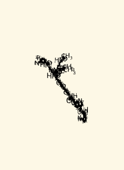 CC(=O)NCCCC[C@H](NC(=O)[C@H](CCCCNC(=O)c1ccc(F)c(C#N)c1)NC(=O)CCOCCOCCOCCNC(=O)COc1ccc2c(C(=O)NCC(=O)N3CCC[C@H]3C#N)ccnc2c1)C(=O)OC(C)(C)C